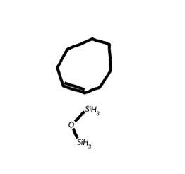 C1=C\CCCCCC/1.[SiH3]O[SiH3]